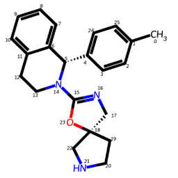 Cc1ccc([C@H]2c3ccccc3CCN2C2=NC[C@@]3(CCNC3)O2)cc1